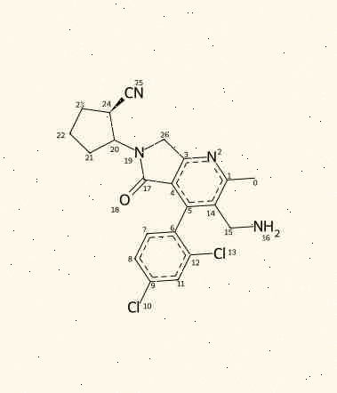 Cc1nc2c(c(-c3ccc(Cl)cc3Cl)c1CN)C(=O)N(C1CCC[C@H]1C#N)C2